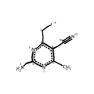 Cc1nc(N)nc(CI)c1C#N